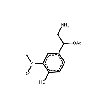 CC(=O)OC(CN)c1ccc(O)c([S+](C)[O-])c1